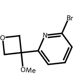 COC1(c2cccc(Br)n2)COC1